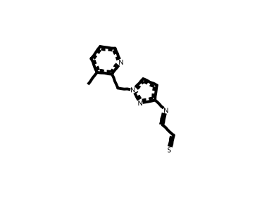 Cc1cccnc1Cn1ccc(N=CC=S)n1